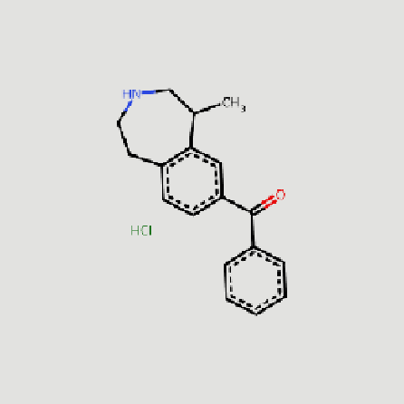 CC1CNCCc2ccc(C(=O)c3ccccc3)cc21.Cl